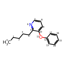 CCCC[CH]c1ncccc1Oc1ccccc1